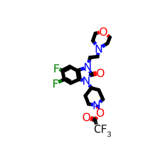 O=C(ON1CCC(n2c(=O)n(CCN3CCOCC3)c3cc(F)c(F)cc32)CC1)C(F)(F)F